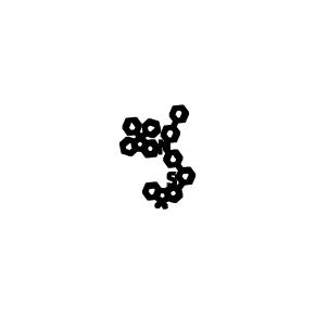 CC1(C)C2=C(C=CCC2)c2c1ccc1c2SC2C(C3C=CC(N(c4ccc5c(c4)C(C4C=CC=CC4)(C4C=CC=CC4)C4=C5CCC=C4)C4C=CC(C5C=CCCC5)CC4)=CC3)=CC=CC12